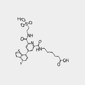 O=C(O)CCCCCNC(=O)c1cc(-c2ccc(F)c3ccsc23)cc(C(=O)NCCS(=O)(=O)O)n1